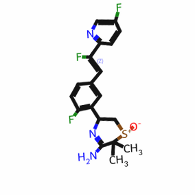 CC1(C)C(N)=NC(c2cc(/C=C(\F)c3ccc(F)cn3)ccc2F)C[S+]1[O-]